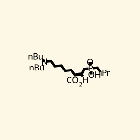 CCCCN(CCCC)CCCCCC=C(CP(=O)(O)CC(C)C)C(=O)O